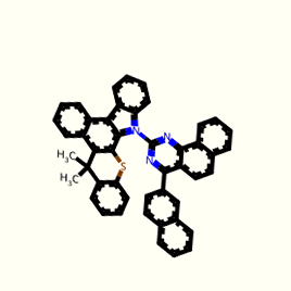 CC1(C)c2ccccc2Sc2c1c1ccccc1c1c3ccccc3n(-c3nc(-c4ccc5ccccc5c4)c4ccc5ccccc5c4n3)c21